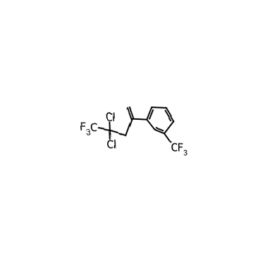 C=C(CC(Cl)(Cl)C(F)(F)F)c1cccc(C(F)(F)F)c1